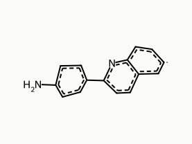 Nc1ccc(-c2ccc3c[c]ccc3n2)cc1